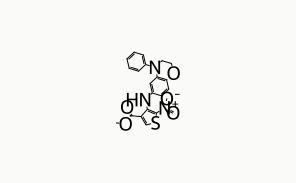 COC(=O)c1csc([N+](=O)[O-])c1Nc1ccc2c(c1)N(c1ccccc1)CCO2